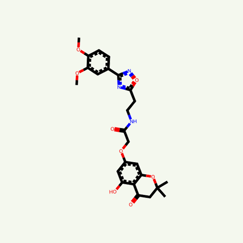 COc1ccc(-c2noc(CCNC(=O)COc3cc(O)c4c(c3)OC(C)(C)CC4=O)n2)cc1OC